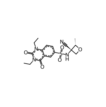 CCn1c(=O)c2cc(S(=O)(=O)N[C@@]3(C#N)CO[C@H]3C)ccc2n(CC)c1=O